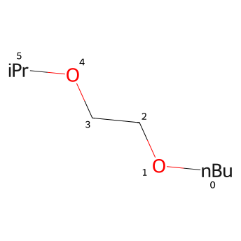 CCCCOCCOC(C)C